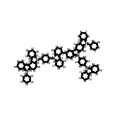 c1ccc(-n2c3ccccc3c3cc4c5cc(-c6cccc7c6c6ccccc6n7-c6ccc(-n7c8ccccc8c8c9c%10ccccc%10n(-c%10ccccc%10)c9ccc87)cc6)ccc5n(-c5ccc(-n6c7ccccc7c7ccccc76)cc5)c4cc32)cc1